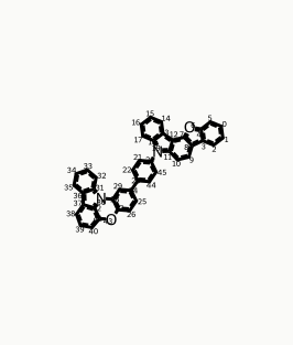 c1ccc2c(c1)oc1c2ccc2c1c1ccccc1n2-c1ccc(-c2ccc3c(c2)-n2c4ccccc4c4cccc(c42)O3)cc1